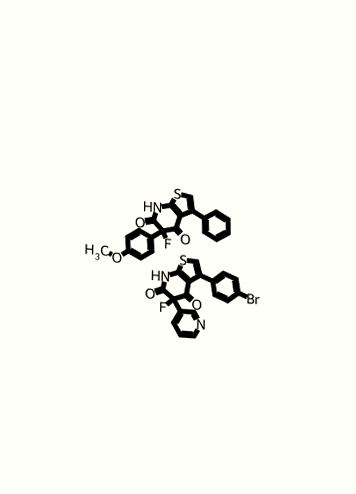 COc1ccc(C2(F)C(=O)Nc3scc(-c4ccccc4)c3C2=O)cc1.O=C1Nc2scc(-c3ccc(Br)cc3)c2C(=O)C1(F)c1cccnc1